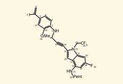 C=C(I)c1ccc(NCC#Cc2cc3c(NC(C)CCC)cc(F)cc3n2CC(F)(F)F)c(OC)c1